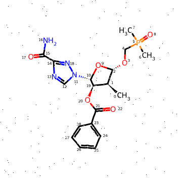 C[C@@H]1[C@@H](OCP(C)(C)=O)O[C@@H](n2cnc(C(N)=O)n2)[C@@H]1OC(=O)c1ccccc1